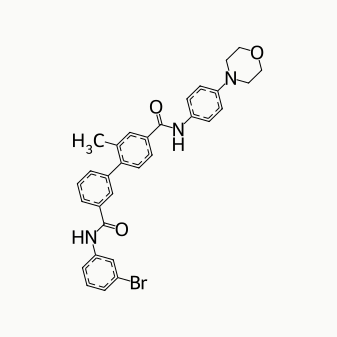 Cc1cc(C(=O)Nc2ccc(N3CCOCC3)cc2)ccc1-c1cccc(C(=O)Nc2cccc(Br)c2)c1